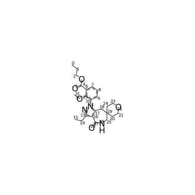 CCCOC(=O)c1cccc(-n2nc(CC)c3c2CC2(CCOCC2)CNC3=O)c1OC